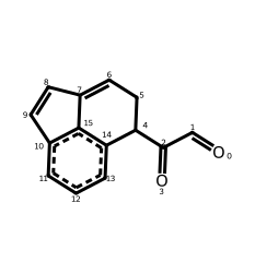 O=CC(=O)C1CC=C2C=Cc3cccc1c32